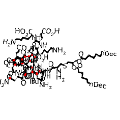 CCCCCCCCCCCCCCCC(=O)OC[C@H](CSC[C@H](N)C(=O)NCC(=O)N[C@@H](CC(N)=O)C(=O)N[C@@H](CC(N)=O)C(=O)N[C@@H](CC(=O)O)C(=O)N[C@@H](CCC(=O)O)C(=O)N[C@@H](CO)C(=O)N[C@@H](CC(N)=O)C(=O)N[C@H](C(=O)N[C@@H](CO)C(=O)N[C@@H](Cc1ccccc1)C(=O)N[C@@H](CCCCN)C(=O)N[C@@H](CCC(=O)O)C(=O)N[C@@H](CCCCN)C(=O)O)[C@@H](C)CC)OC(=O)CCCCCCCCCCCCCCC